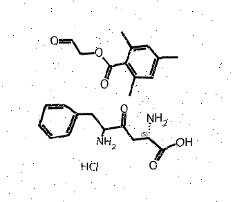 Cc1cc(C)c(C(=O)OCC=O)c(C)c1.Cl.NC(Cc1ccccc1)C(=O)C[C@H](N)C(=O)O